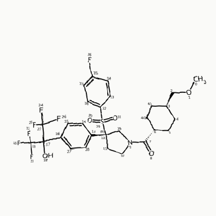 COC[C@H]1CC[C@H](C(=O)N2CC[C@](c3ccc(C(O)(C(F)(F)F)C(F)(F)F)cc3)(S(=O)(=O)c3ccc(F)cc3)C2)CC1